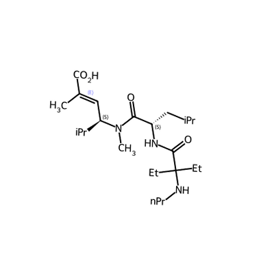 CCCNC(CC)(CC)C(=O)N[C@@H](CC(C)C)C(=O)N(C)[C@H](/C=C(\C)C(=O)O)C(C)C